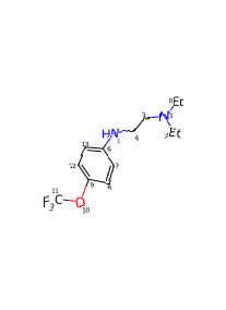 CCN(CC)CCNc1ccc(OC(F)(F)F)cc1